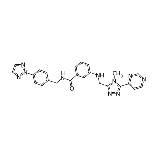 Cn1c(CNc2cccc(C(=O)NCc3ccc(-n4nccn4)cc3)c2)nnc1-c1ccncn1